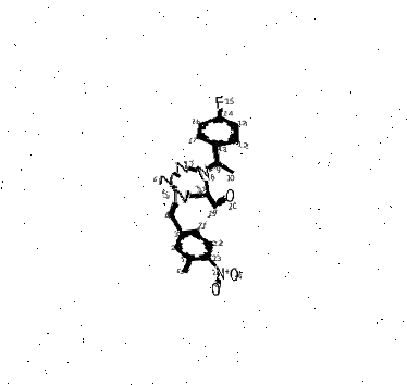 Cc1cc(CN2N=NN(C(C)c3ccc(F)cc3)C2C=O)ccc1[N+](=O)[O-]